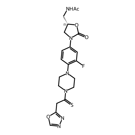 CC(=O)NC[C@H]1CN(c2ccc(N3CCN(C(=S)Cc4nnco4)CC3)c(F)c2)C(=O)O1